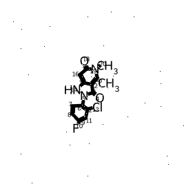 Cc1c2c(=O)n(-c3ccc(F)cc3Cl)[nH]c2cc(=O)n1C